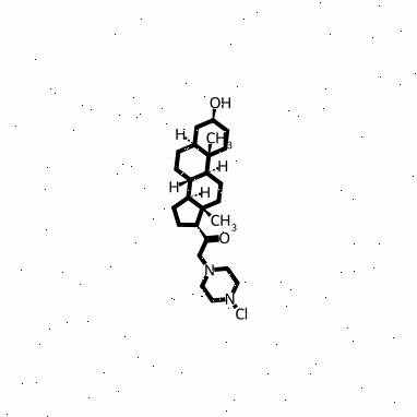 C[C@]12CC[C@H](O)C[C@@H]1CC[C@@H]1[C@@H]2CC[C@]2(C)[C@@H](C(=O)CN3CCN(Cl)CC3)CC[C@@H]12